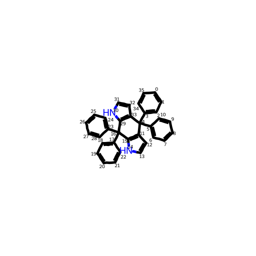 c1ccc(C2(c3ccccc3)c3cc[nH]c3C(c3ccccc3)(c3ccccc3)c3[nH]ccc32)cc1